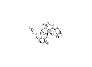 COCCCc1cc(CN(C(=O)[C@@H]2CNCC[C@H]2c2ccn(C)c(=O)c2)C2CC2)c(Cl)cn1